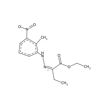 CCOC(=O)/C(CC)=N\Nc1cccc([N+](=O)[O-])c1C